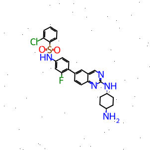 N[C@H]1CC[C@H](Nc2ncc3cc(-c4ccc(NS(=O)(=O)c5ccccc5Cl)cc4F)ccc3n2)CC1